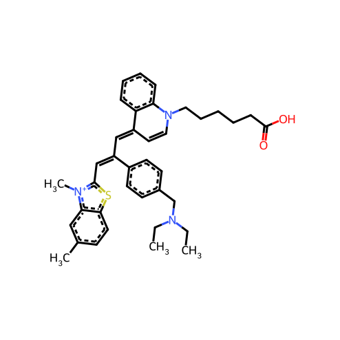 CCN(CC)Cc1ccc(C(=C\c2sc3ccc(C)cc3[n+]2C)/C=C2\C=CN(CCCCCC(=O)O)c3ccccc32)cc1